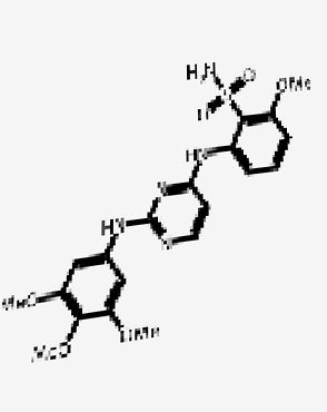 COc1cc(Nc2nccc(Nc3cccc(OC)c3S(N)(=O)=O)n2)cc(OC)c1OC